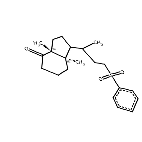 CC(CCS(=O)(=O)c1ccccc1)C1CC[C@@]2(C)C(=O)CCC[C@]12C